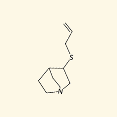 C=CCSC1CN2CCC1CC2